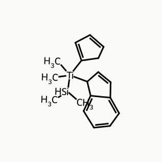 C[SiH](C)[Ti]([CH3])([CH3])([C]1=CC=CC1)[CH]1C=Cc2ccccc21